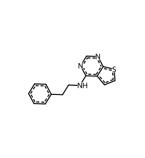 c1ccc(CCNc2ncnc3sccc23)cc1